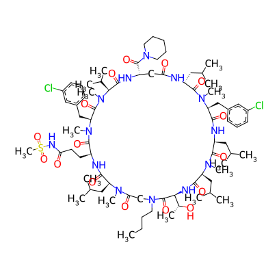 CCCCN1CC(=O)N(C)[C@@H](CC(C)C)C(=O)N[C@@H](CCC(=O)NS(C)(=O)=O)C(=O)N(C)[C@@H](Cc2cccc(Cl)c2)C(=O)N(C)[C@@H](C(C)C)C(=O)N[C@H](C(=O)N2CCCCC2)CC(=O)N[C@H](CC(C)C)C(=O)N(C)[C@@H](Cc2cccc(Cl)c2)C(=O)N[C@@H](CC(C)C)C(=O)N(C)[C@@H](CC(C)C)C(=O)N[C@@H]([C@@H](C)O)C1=O